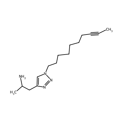 CC#CCCCCCCCn1cc(CC(C)N)nn1